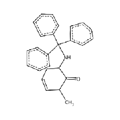 CC1C=CCC(NC(c2ccccc2)(c2ccccc2)c2ccccc2)C1=O